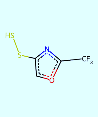 FC(F)(F)c1nc(SS)co1